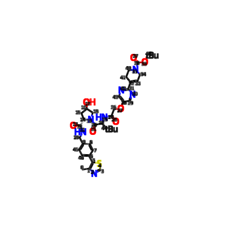 Cc1ncsc1-c1ccc(CNC(=O)[C@@H]2C[C@@H](O)CN2C(=O)[C@@H](NC(=O)COc2cnc(C3=CCN(C(=O)OC(C)(C)C)CC3)nc2)C(C)(C)C)cc1